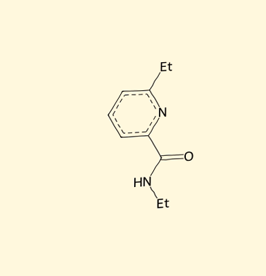 CCNC(=O)c1cccc(CC)n1